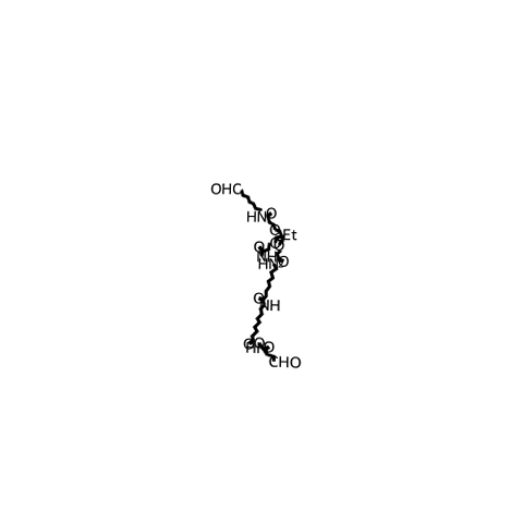 CCC(COCCC(N)=O)(COCCC(=O)NCCCCCCCC=O)COCCC(=O)NCCCCCCCC(=O)NCCCCCCCC(=O)ONC(=O)CCC=O